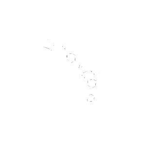 CN(Cc1ccc(/C=C/C(=O)Nc2cc(-c3cccs3)ccc2N)cc1)CC12CC3CC=C1C(C3)C2